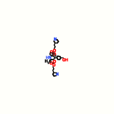 CC1=C(OC(=O)OCCCc2cccnc2)C(c2ccc(CO)cc2)C(OC(=O)OCCCc2cccnc2)=C(C)N1